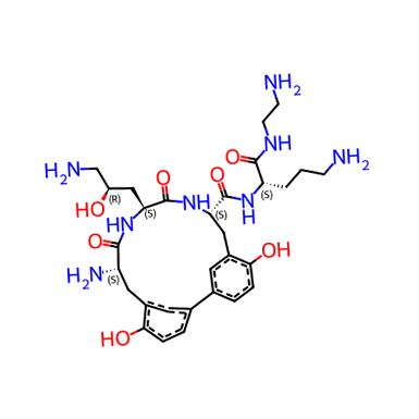 NCCC[C@H](NC(=O)[C@@H]1Cc2cc(ccc2O)-c2ccc(O)c(c2)C[C@H](N)C(=O)N[C@@H](C[C@@H](O)CN)C(=O)N1)C(=O)NCCN